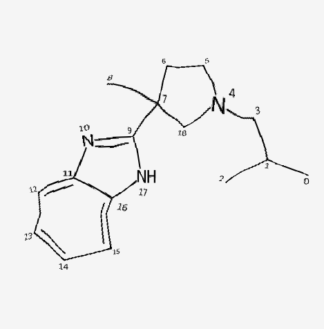 CC(C)CN1CCC(C)(c2nc3ccccc3[nH]2)C1